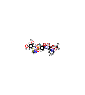 COc1ccc(CN(c2nccs2)S(=O)(=O)c2ccc3c(oc(=O)n3CC3(C4CCCCN4C(=O)OC(C)(C)C)CC3)c2F)c(OC)c1